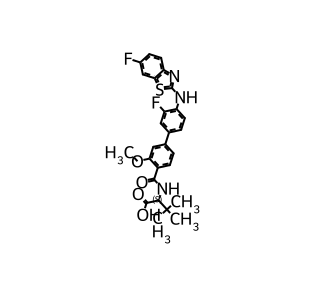 COc1cc(-c2ccc(Nc3nc4ccc(F)cc4s3)c(F)c2)ccc1C(=O)N[C@H](C(=O)O)C(C)(C)C